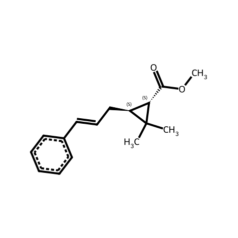 COC(=O)[C@H]1[C@H](CC=Cc2ccccc2)C1(C)C